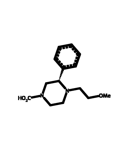 COCCN1CCN(C(=O)O)C[C@@H]1c1ccccc1